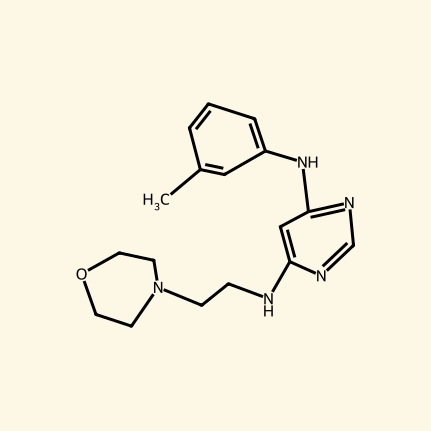 Cc1cccc(Nc2cc(NCCN3CCOCC3)ncn2)c1